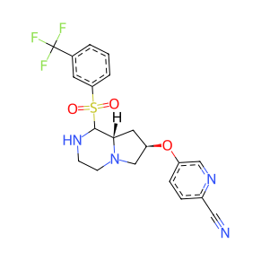 N#Cc1ccc(O[C@@H]2C[C@H]3C(S(=O)(=O)c4cccc(C(F)(F)F)c4)NCCN3C2)cn1